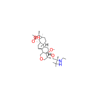 CCN[C@@](C)(CO[C@H]1[C@H](OC)C[C@@]23COC[C@]1(C)[C@@H]2CC[C@H]1C3=CC[C@@]2(C)[C@H](C(=O)O)[C@@](C)([C@H](C)C(C)C)CC[C@]12C)C(C)(C)C